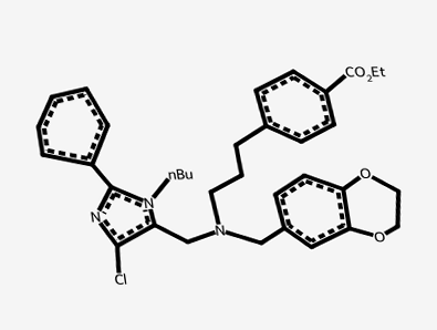 CCCCn1c(-c2ccccc2)nc(Cl)c1CN(CCCc1ccc(C(=O)OCC)cc1)Cc1ccc2c(c1)OCCO2